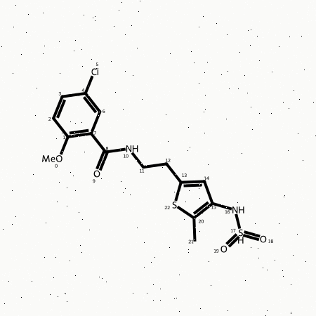 COc1ccc(Cl)cc1C(=O)NCCc1cc(N[SH](=O)=O)c(C)s1